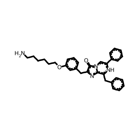 NCCCCCCOc1cccc(Cc2nc3c(Cc4ccccc4)[nH]c(-c4ccccc4)cn-3c2=O)c1